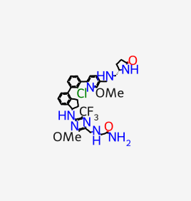 COc1nc(-c2cccc(-c3cccc4c3CC[C@@H]4Nc3nc(OC)c(CNCC(N)=O)nc3C(F)(F)F)c2Cl)ccc1CNC[C@@H]1CCC(=O)N1